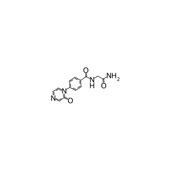 NC(=O)CNC(=O)c1ccc(-n2ccncc2=O)cc1